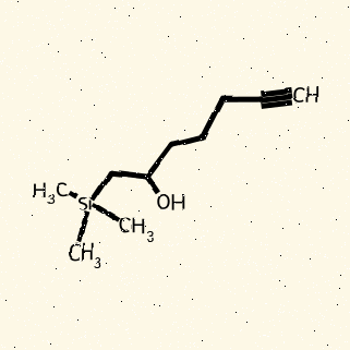 C#CCCCC(O)C[Si](C)(C)C